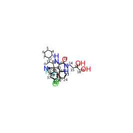 CC(C1CCCCC1)C1NC(C(=O)NCC[C@H](O)CO)C(c2cccc(Cl)c2F)C1(C#N)c1ccc(Cl)cc1F